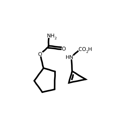 NC(=O)OC1CCCC1.O=C(O)NC1=CC1